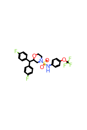 O=S(=O)(Nc1ccc(OC(F)(F)F)cc1)N1CCOC(C(c2ccc(F)cc2)c2ccc(F)cc2)C1